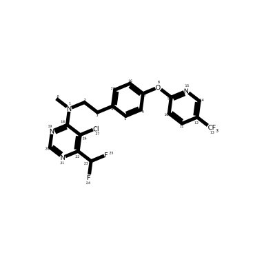 CN(CCc1ccc(Oc2ccc(C(F)(F)F)cn2)cc1)c1ncnc(C(F)F)c1Cl